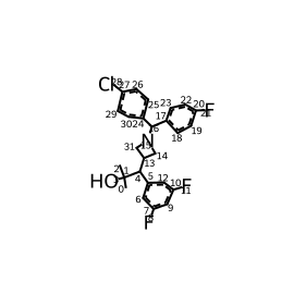 CC(C)(O)C(c1cc(F)cc(F)c1)C1CN(C(c2ccc(F)cc2)c2ccc(Cl)cc2)C1